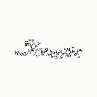 COCCCn1c(C2CCCN(C(=O)C[C@H](N)Cc3ccc(-c4cnc(NCC(C)O)nc4)cc3)C2)c(C)c2cccc(F)c21